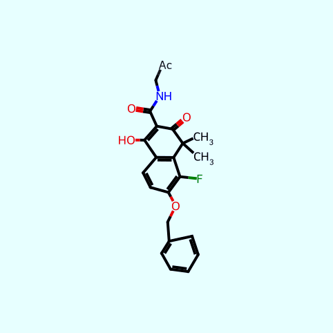 CC(=O)CNC(=O)C1=C(O)c2ccc(OCc3ccccc3)c(F)c2C(C)(C)C1=O